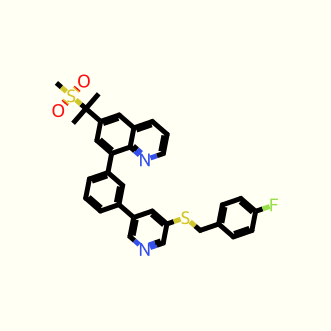 CC(C)(c1cc(-c2cccc(-c3cncc(SCc4ccc(F)cc4)c3)c2)c2ncccc2c1)S(C)(=O)=O